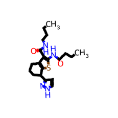 CCCCNC(=O)c1c(NC(=O)CCC)sc2c1CCCC2c1cc[nH]n1